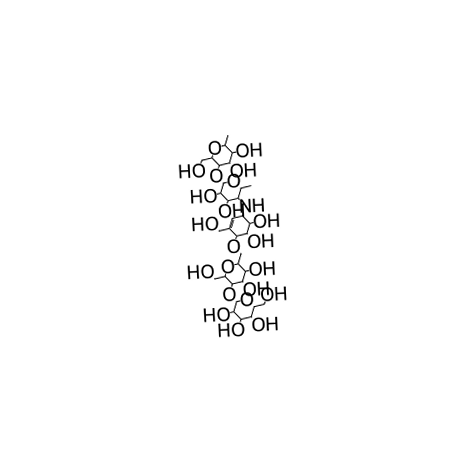 CC1OC(CO)C(OC2OC(C)C(NC3C=C(CO)C(OCC4OC(CO)C(OC5OC(CO)C(O)C(O)C5O)C(O)C4O)C(O)C3O)C(O)C2O)C(O)C1O